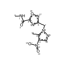 CNC(=O)c1nc(Cn2ncc([N+](=O)[O-])c2C)no1